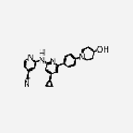 N#Cc1ccnc(Nc2cc(C3CC3)cc(-c3ccc(N4CCC(O)CC4)cc3)n2)c1